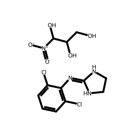 Clc1cccc(Cl)c1N=C1NCCN1.O=[N+]([O-])C(O)C(O)CO